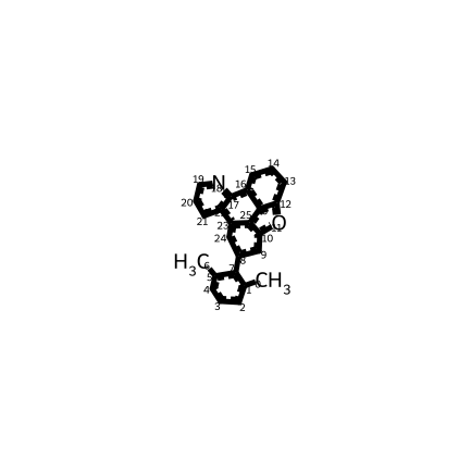 Cc1cccc(C)c1-c1cc2oc3cccc4c5ncccc5c(c1)c2c34